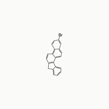 Brc1ccc2c(ccc3c4c(ccc32)Cc2ccccc2-4)c1